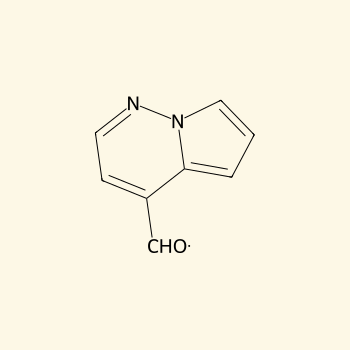 O=[C]c1ccnn2cccc12